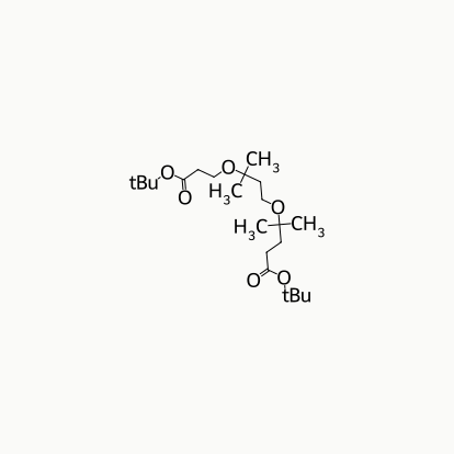 CC(C)(C)OC(=O)CCOC(C)(C)CCOC(C)(C)CCC(=O)OC(C)(C)C